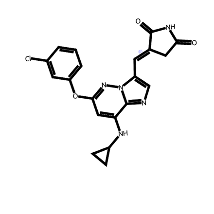 O=C1C/C(=C\c2cnc3c(NC4CC4)cc(Oc4cccc(Cl)c4)nn23)C(=O)N1